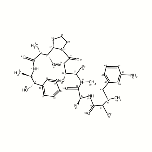 CO[C@H]([C@@H](C)C(=O)N[C@H](C)[C@@H](O)c1ccccc1)[C@@H]1CCCN1C(=O)C[C@@H](OC)C(C(C)C)N(C)C(=O)[C@@H](NC(=O)C(C(C)C)N(C)Cc1cccc(N)c1)C(C)C